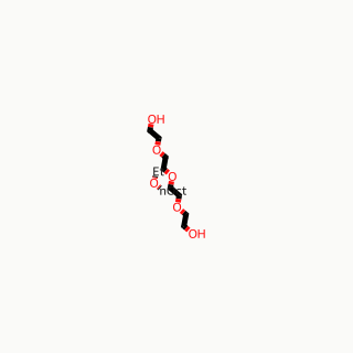 CCCCCCCCOCC.OCCOCCOCCOCCO